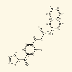 Cc1cc(C(=O)C2CC=CS2)ccc1OCC(=O)Nc1ccc2ccncc2c1